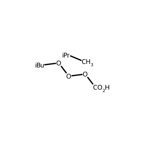 CC(C)C.CCC(C)OOOC(=O)O